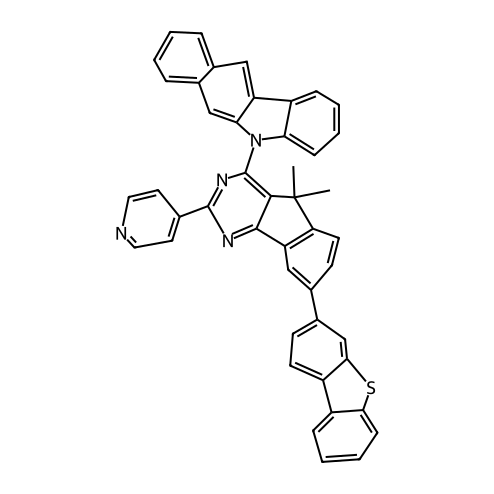 CC1(C)c2ccc(-c3ccc4c(c3)sc3ccccc34)cc2-c2nc(-c3ccncc3)nc(-n3c4ccccc4c4cc5ccccc5cc43)c21